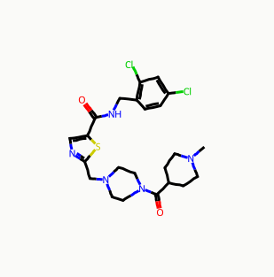 CN1CCC(C(=O)N2CCN(Cc3ncc(C(=O)NCc4ccc(Cl)cc4Cl)s3)CC2)CC1